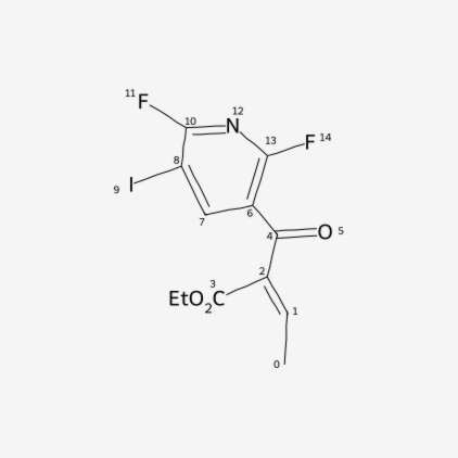 C/C=C(\C(=O)OCC)C(=O)c1cc(I)c(F)nc1F